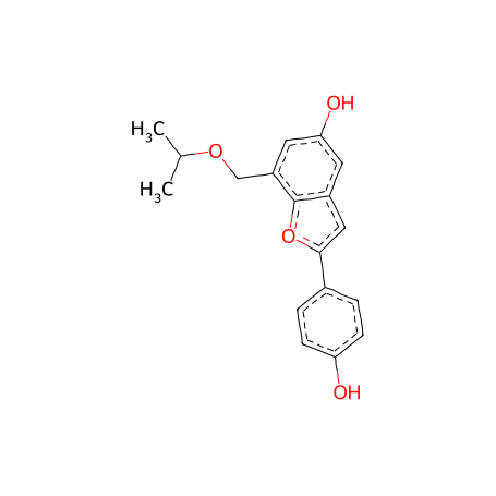 CC(C)OCc1cc(O)cc2cc(-c3ccc(O)cc3)oc12